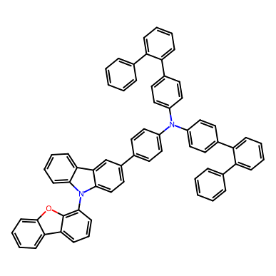 c1ccc(-c2ccccc2-c2ccc(N(c3ccc(-c4ccc5c(c4)c4ccccc4n5-c4cccc5c4oc4ccccc45)cc3)c3ccc(-c4ccccc4-c4ccccc4)cc3)cc2)cc1